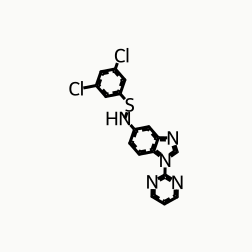 Clc1cc(Cl)cc(SNc2ccc3c(c2)ncn3-c2ncccn2)c1